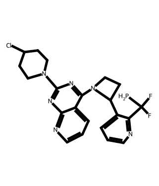 FC(F)(P)c1ncccc1C1CCN1c1nc(N2CCC(Cl)CC2)nc2ncccc12